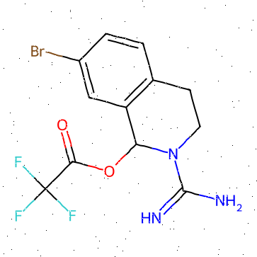 N=C(N)N1CCc2ccc(Br)cc2C1OC(=O)C(F)(F)F